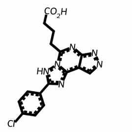 O=C(O)CCCc1nc2nncc-2c2nc(-c3ccc(Cl)cc3)[nH]n12